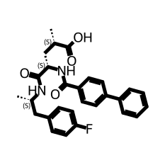 C[C@@H](Cc1ccc(F)cc1)NC(=O)[C@H](C[C@H](C)C(=O)O)NC(=O)c1ccc(-c2ccccc2)cc1